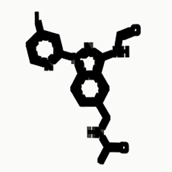 CC(=O)NCc1ccc2c(c1)c(NC=O)nn2-c1cc(I)ccn1